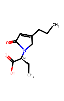 CCCC1=CC(=O)N([C@@H](CC)C(=O)O)C1